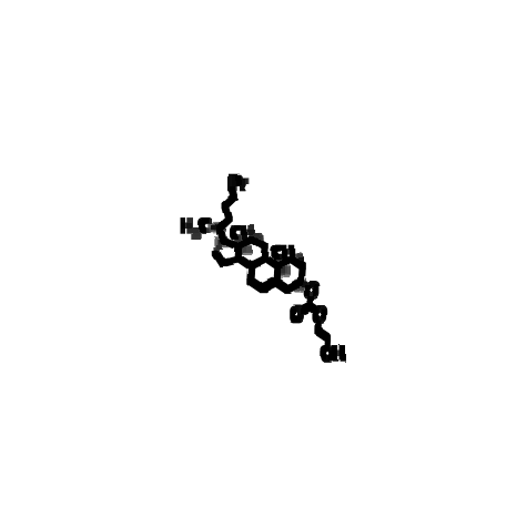 CC(C)CCC[C@@H](C)[C@H]1CCC2C3CC=C4C[C@@H](OC(=O)OCCO)CC[C@]4(C)C3CC[C@@]21C